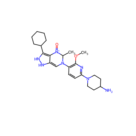 COc1nc(N2CCC(N)CC2)ccc1N1C=C2NNC(C3CCCCC3)=C2[N+](=O)C1C